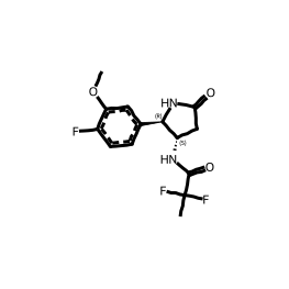 COc1cc([C@H]2NC(=O)C[C@@H]2NC(=O)C(C)(F)F)ccc1F